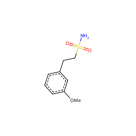 COc1cccc(CCS(N)(=O)=O)c1